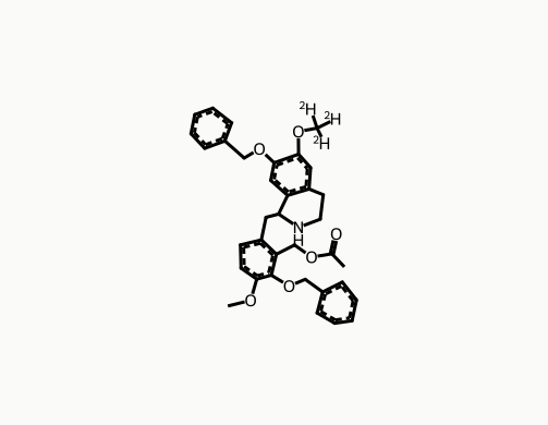 [2H]C([2H])([2H])Oc1cc2c(cc1OCc1ccccc1)C(Cc1ccc(OC)c(OCc3ccccc3)c1COC(C)=O)NCC2